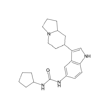 O=C(Nc1ccc2[nH]cc(C3CCN4CCCC4C3)c2c1)NC1CCCC1